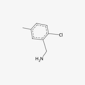 Cc1ccc(Cl)c(CN)c1